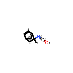 CC1(N=C=O)CC2C=CC1C2